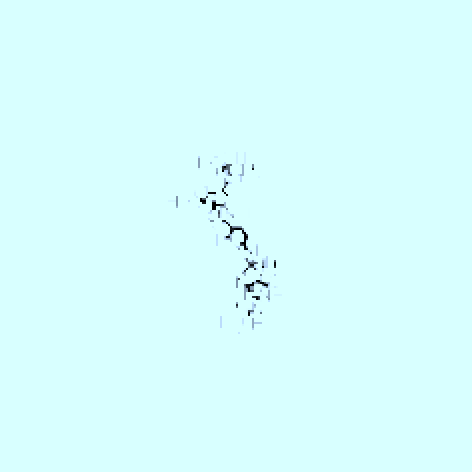 CC(=O)Nc1nc2c(c(=O)[nH]1)N(C)C(O)(CNc1ccc(C(=O)N[C@@H](CCC(=O)OC(C)(C)C)C(=O)OC(C)(C)C)c(F)n1)CN2